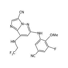 COc1c(F)cc(C#N)cc1Nc1cc(NCC(F)(F)F)c2ncc(C#N)n2n1